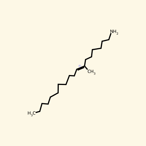 CCCCCCCCCC/C=C(\C)CCCCCCN